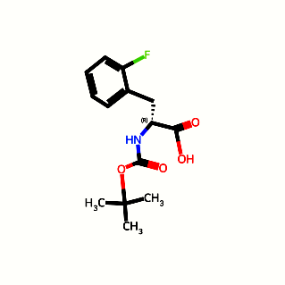 CC(C)(C)OC(=O)N[C@H](Cc1ccccc1F)C(=O)O